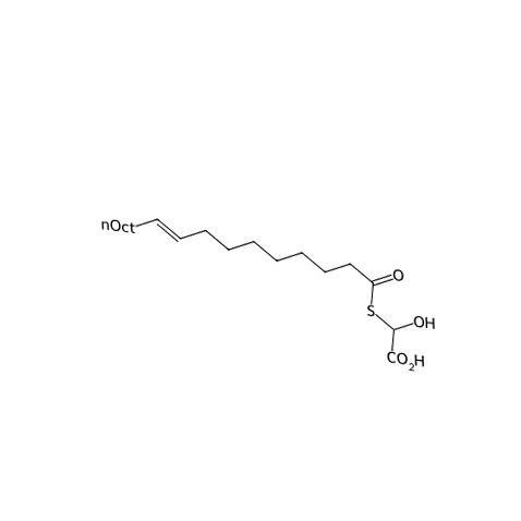 CCCCCCCCC=CCCCCCCCC(=O)SC(O)C(=O)O